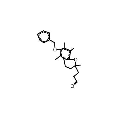 Cc1c(C)c2c(c(C)c1OCc1ccccc1)CCC(C)(CCC=O)O2